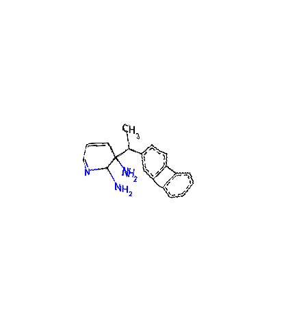 CC(c1ccc2c(c1)-c1ccccc1-2)C1(N)C=CC=NC1N